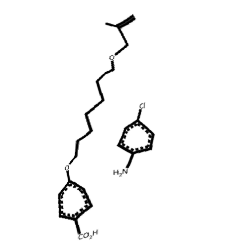 C=C(C)COCCCCCCCOc1ccc(C(=O)O)cc1.Nc1ccc(Cl)cc1